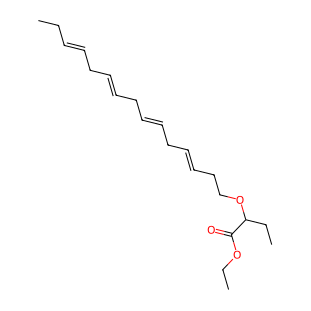 CCC=CCC=CCC=CCC=CCCOC(CC)C(=O)OCC